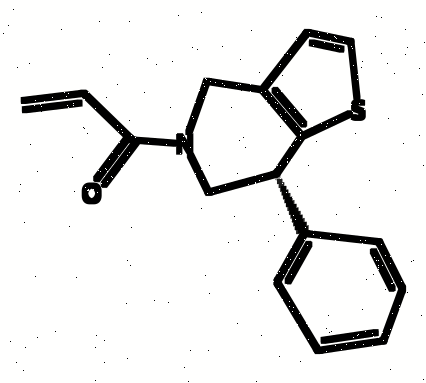 C=CC(=O)N1Cc2ccsc2[C@H](c2ccccc2)C1